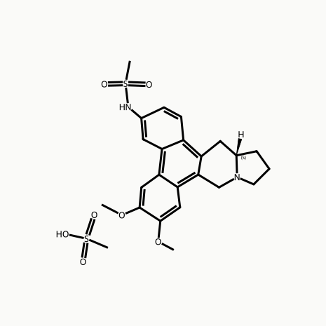 COc1cc2c3c(c4ccc(NS(C)(=O)=O)cc4c2cc1OC)C[C@@H]1CCCN1C3.CS(=O)(=O)O